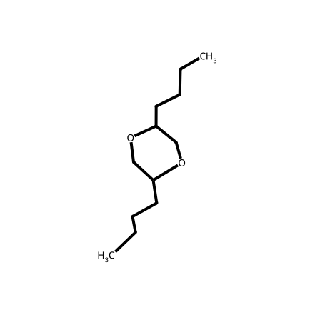 CCCCC1COC(CCCC)CO1